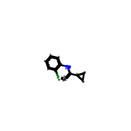 C=C(Nc1ccccc1F)C1CC1